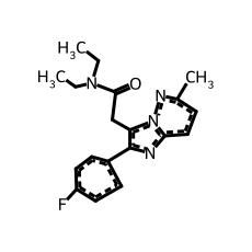 CCN(CC)C(=O)Cc1c(-c2ccc(F)cc2)nc2ccc(C)nn12